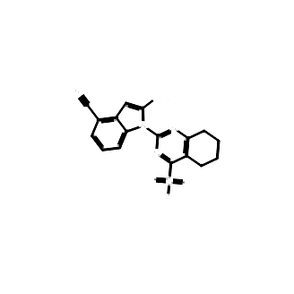 Cc1cc2c(C#N)cccc2n1-c1nc2c(c(S(C)(=O)=O)n1)CCCC2